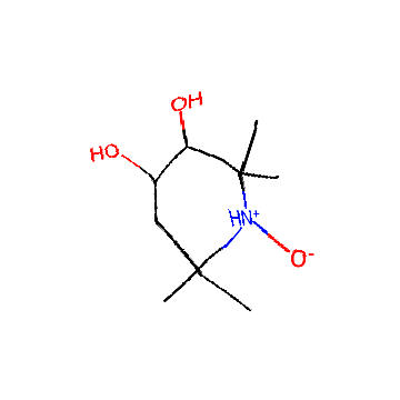 CC1(C)CC(O)C(O)C(C)(C)[NH+]1[O-]